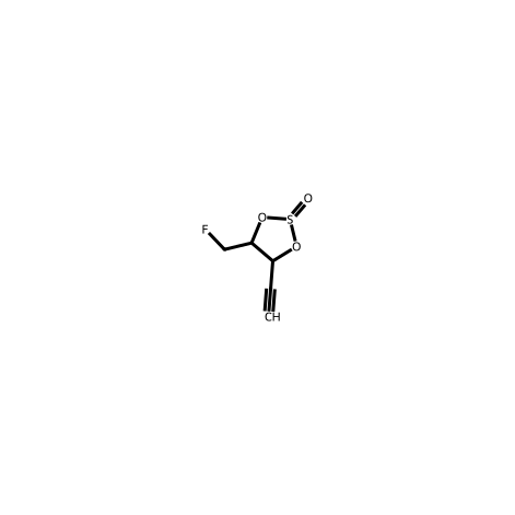 C#CC1OS(=O)OC1CF